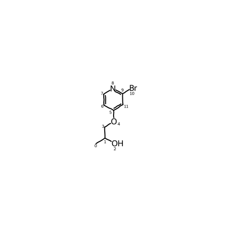 CC(O)COc1ccnc(Br)c1